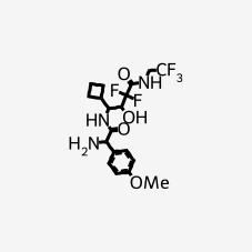 COc1ccc(C(N)C(=O)NC(C2CCC2)C(O)C(F)(F)C(=O)NCC(F)(F)F)cc1